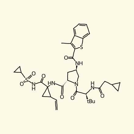 C=CC1CC1(NC(=O)[C@@H]1C[C@@H](NC(=O)c2sc3ccccc3c2C)CN1C(=O)[C@@H](NC(=O)CC1CC1)C(C)(C)C)C(=O)NS(=O)(=O)C1CC1